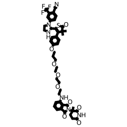 CC1(C)C(=O)SC(C2NCCN2c2ccc(C#N)c(C(F)(F)F)c2)=C1c1ccc(OCCCOCCOCCOCCNc2cccc3c2C(=O)N(C2(C)CCC(=O)NC2=O)C3=O)cc1